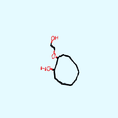 OCCOC1CCCCCCCCC1O